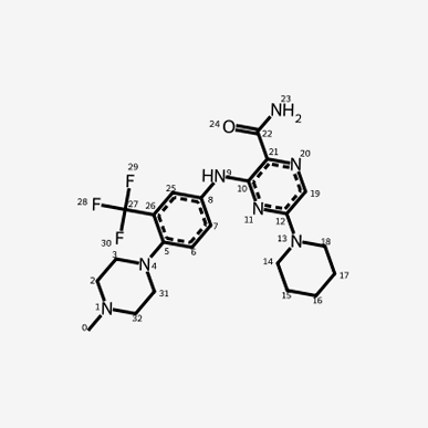 CN1CCN(c2ccc(Nc3nc(N4CCCCC4)cnc3C(N)=O)cc2C(F)(F)F)CC1